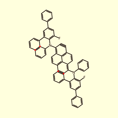 Fc1cc(-c2ccccc2)cc(-c2c#cccc2)c1N(C1=c2ccc3c#cc(N(c4ccccc4)c4c(F)cc(-c5ccccc5)cc4C4=CC=CCC4)c4ccc(c2c34)CC1)c1ccccc1